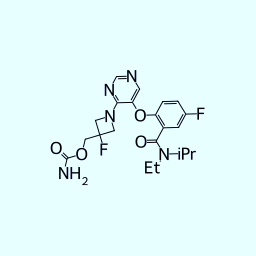 CCN(C(=O)c1cc(F)ccc1Oc1cncnc1N1CC(F)(COC(N)=O)C1)C(C)C